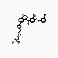 CC(C)S(=O)(=O)CCOCCc1nc(-c2cc3c(Nc4ccc(OCc5cccc(F)c5)c(Br)c4)ncnc3cn2)cs1